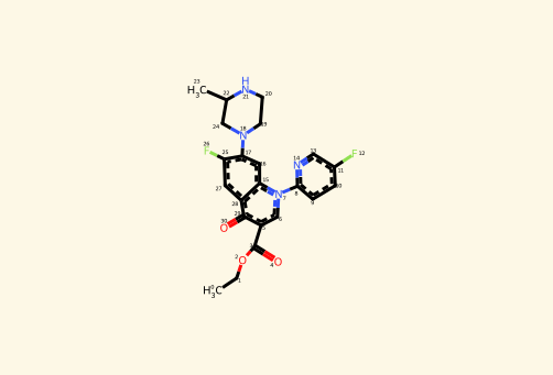 CCOC(=O)c1cn(-c2ccc(F)cn2)c2cc(N3CCNC(C)C3)c(F)cc2c1=O